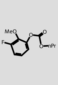 CCCOC(=O)Oc1cccc(F)c1OC